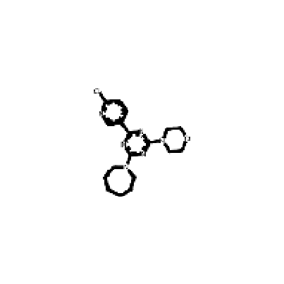 Clc1ccc(-c2nc(N3CCCCCC3)nc(N3CCOCC3)n2)cn1